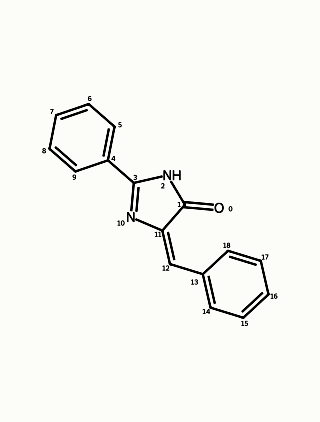 O=C1NC(c2ccccc2)=N/C1=C/c1ccccc1